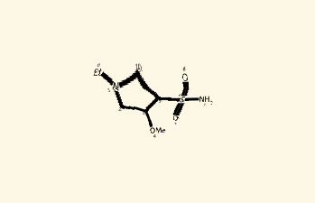 CCN1CC(OC)C(S(N)(=O)=O)C1